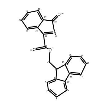 O=C(OCC1c2ccccc2-c2ccccc21)C1=NC(=O)c2ccccc21